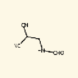 N#CC(C#N)CNC=O